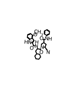 COc1cccc2[nH]c(C(=O)NC(CC3CCCCC3)C(=O)N3CC(C(=O)Nc4ccccc4)CC3C#N)cc12